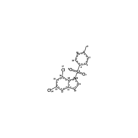 Cc1ccc(S(=O)(=O)n2ccc3cc(Cl)cc(Cl)c32)cc1